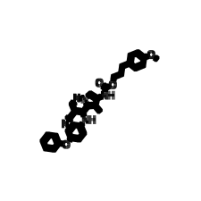 COc1ccc(CCCOC(=O)Nc2cn3ncc(C#N)c(Nc4ccc(Oc5ccccc5)cc4)c3c2C)cc1